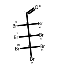 O=CC(Br)(Br)C(Br)(Br)C(Br)(Br)Br